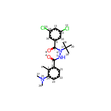 Cc1c(C(=O)NN(C(=O)c2cc(Cl)cc(Cl)c2)C(C)(C)C)cccc1N(C)C